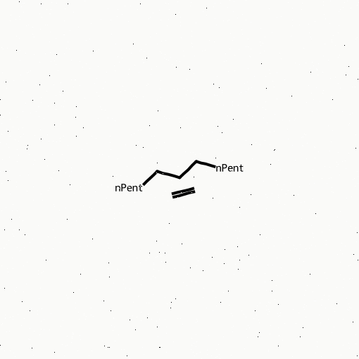 C=C.CCCCCCCCCCCCC